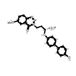 COc1ccc2nnn(CC[C@@H](Oc3ccc(-c4ccc(Cl)cc4)cc3)C(=O)O)c(=O)c2c1